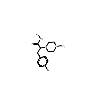 CCNC(=O)C(Cc1ccc(Br)cc1)N1CCN(C)CC1